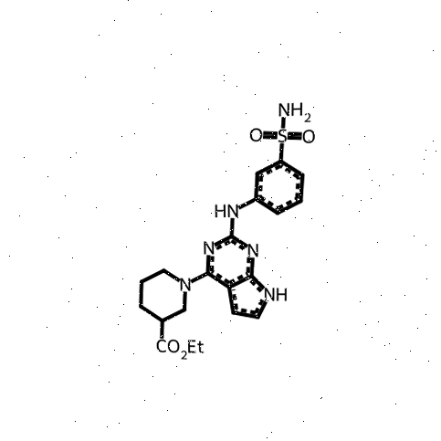 CCOC(=O)C1CCCN(c2nc(Nc3cccc(S(N)(=O)=O)c3)nc3[nH]ccc23)C1